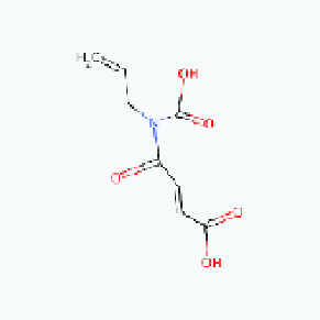 C=CCN(C(=O)O)C(=O)/C=C/C(=O)O